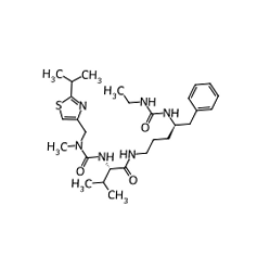 CCNC(=O)N[C@H](CCCNC(=O)[C@@H](NC(=O)N(C)Cc1csc(C(C)C)n1)C(C)C)Cc1ccccc1